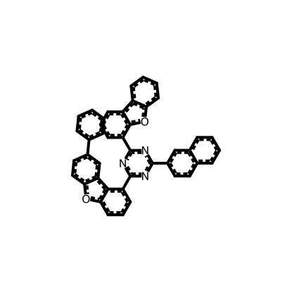 c1ccc(-c2ccc3oc4cccc(-c5nc(-c6ccc7ccccc7c6)nc(-c6cccc7c6oc6ccccc67)n5)c4c3c2)cc1